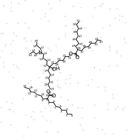 CCCCCCCCC(CCCCCCC)C(=O)OCCCCCCC(O)(CCCCCCOC(=O)C(CCCCCCC)CCCCCCCC)CCCCN(CCC)CCC